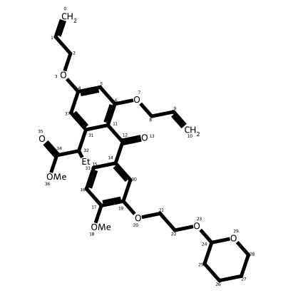 C=CCOc1cc(OCC=C)c(C(=O)c2ccc(OC)c(OCCOC3CCCCO3)c2)c(C(CC)C(=O)OC)c1